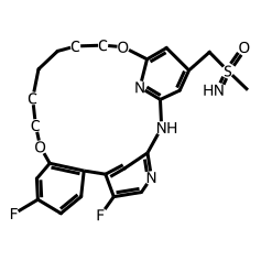 CS(=N)(=O)Cc1cc2nc(c1)OCCCCCCOc1cc(F)ccc1-c1cc(ncc1F)N2